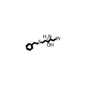 CC(C)C[C@H](N)[C@@H](O)CCSCCc1ccccc1